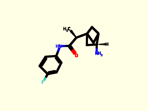 C[C@H](C(=O)Nc1ccc(F)cc1)C12CC(C1)[C@@H](N)C2